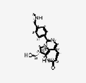 CNCc1ccc(C2=NC=C3C=CC(=O)NC4=C3N2C[C@H]4CO)cc1